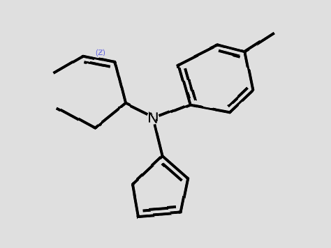 C/C=C\C(CC)N(C1=CC=CC1)c1ccc(C)cc1